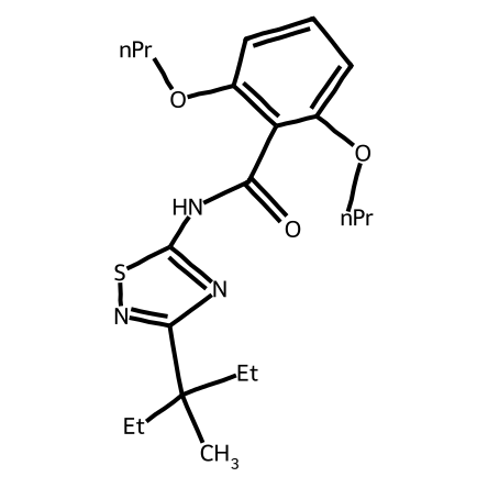 CCCOc1cccc(OCCC)c1C(=O)Nc1nc(C(C)(CC)CC)ns1